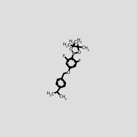 CC(C)c1ccc(COc2cc(F)c(B3OC(C)(C)C(C)(C)O3)c(F)c2)cc1